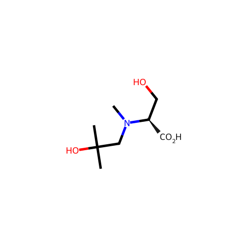 CN(CC(C)(C)O)[C@@H](CO)C(=O)O